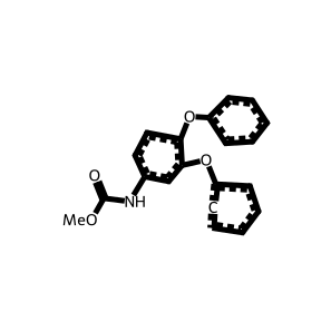 COC(=O)Nc1ccc(Oc2ccccc2)c(Oc2ccccc2)c1